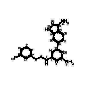 Nc1nc(NCCc2cccc(F)c2)cc(-c2ccc3c(N)n[nH]c3c2)n1